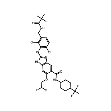 CC(C)(C)C(=O)NCc1ccc(Cl)c(Nc2nc3cc(C(=O)NC4CCC(C(F)(F)F)CC4)c(OCC(F)F)cc3[nH]2)c1Cl